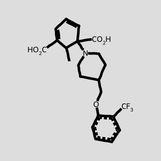 CC1C(C(=O)O)=CC=CC1(C(=O)O)N1CCC(COc2ccccc2C(F)(F)F)CC1